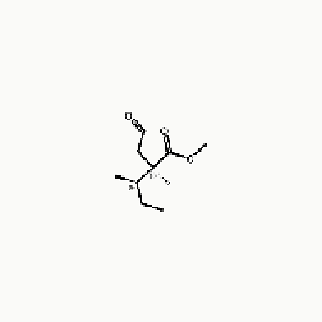 CC[C@@H](C)[C@@](C)(CC=O)C(=O)OC